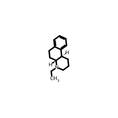 CCN1CCC[C@@H]2c3ccccc3CC[C@H]21